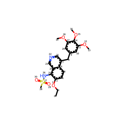 CCOc1ccc2c(Cc3cc(OC)c(OC)c(OC)c3)cncc2c1NS(C)(=O)=O